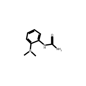 CN(C)c1ccccc1NC(N)=O